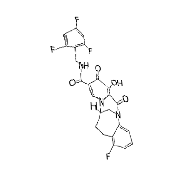 O=C(NCc1c(F)cc(F)cc1F)c1cn2c(c(O)c1=O)C(=O)N1C[C@H]2CCc2c(F)cccc21